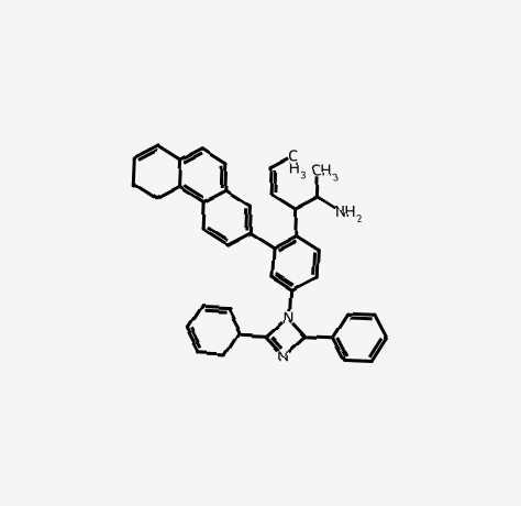 C/C=C\C(c1ccc(N2C(C3C=CC=CC3)=NC2c2ccccc2)cc1-c1ccc2c3c(ccc2c1)C=CCC3)C(C)N